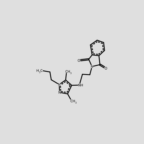 CCCn1nc(C)c(NCCN2C(=O)c3ccccc3C2=O)c1C